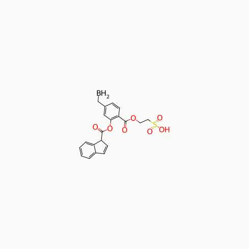 BCc1ccc(C(=O)OCCS(=O)(=O)O)c(OC(=O)C2C=Cc3ccccc32)c1